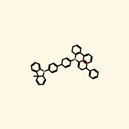 CC12C=CC=CC1N(c1ccc(C3C=CC(N(C4=CCC(c5ccccc5)C=C4)C4=C(c5ccccc5)C=CCC4)=CC3)cc1)c1ccccc12